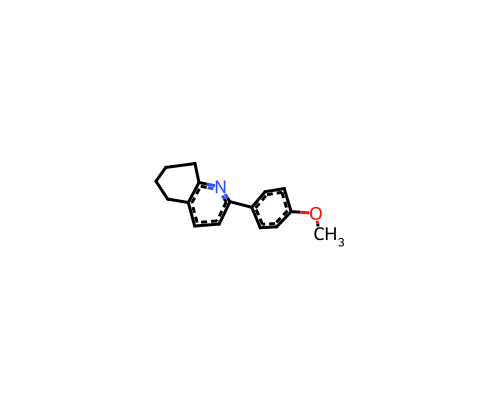 COc1ccc(-c2ccc3c(n2)CCCC3)cc1